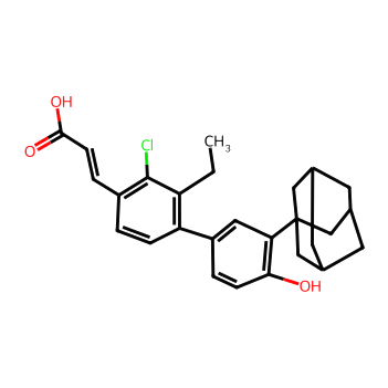 CCc1c(-c2ccc(O)c(C34CC5CC(CC(C5)C3)C4)c2)ccc(C=CC(=O)O)c1Cl